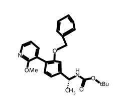 COc1ncccc1-c1ccc([C@@H](C)NC(=O)OC(C)(C)C)cc1OCc1ccccc1